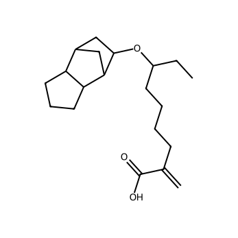 C=C(CCCCC(CC)OC1CC2CC1C1CCCC21)C(=O)O